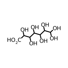 O=C(O)C(O)C(O)C(O)C(O)C(O)C(O)O